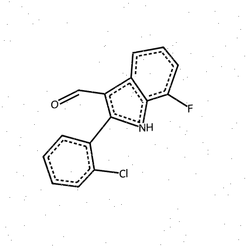 O=Cc1c(-c2ccccc2Cl)[nH]c2c(F)cccc12